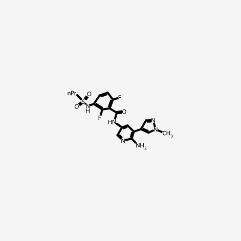 CCCS(=O)(=O)Nc1ccc(F)c(C(=O)Nc2cnc(N)c(-c3cnn(C)c3)c2)c1F